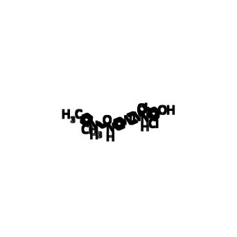 Cc1ccc(NCCC(=O)Nc2ccc(N3CCN(C(=O)Nc4c(Cl)cc(O)cc4Cl)CC3)cc2)c(C)c1